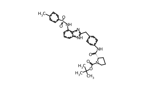 Cc1ccc(S(=O)(=O)Nc2cccc3[nH]c(Cc4ccc(NC(=O)[C@@H]5CCCN5C(=O)OC(C)(C)C)cc4)nc23)cc1